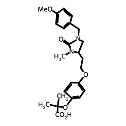 COc1ccc(CN2CC(CCOc3ccc(OC(C)(C)C(=O)O)cc3)N(C)C2=O)cc1